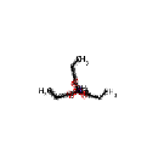 CCCCCC/C=C\CCCCCCCCOC(=O)CCOCC(COCCC(=O)OCCCCCCCC/C=C\CCCCCC)(COCCC(=O)OCCCCCCCC/C=C\CCCCCC)N(C)C